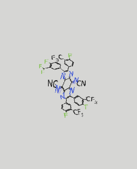 N#C/N=C1/c2nc(-c3ccc(F)c(C(F)(F)F)c3)c(-c3ccc(F)c(C(F)F)c3)nc2/C(=N\C#N)c2nc(-c3ccc(F)c(C(F)(F)F)c3)c(-c3ccc(F)c(C(F)(F)F)c3)nc21